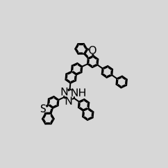 c1ccc(-c2ccc(-c3cc(-c4ccc5ccc(C6=NC(c7ccc8sc9ccccc9c8c7)=NC(c7ccc8ccccc8c7)N6)cc5c4)c4c(c3)oc3ccccc34)cc2)cc1